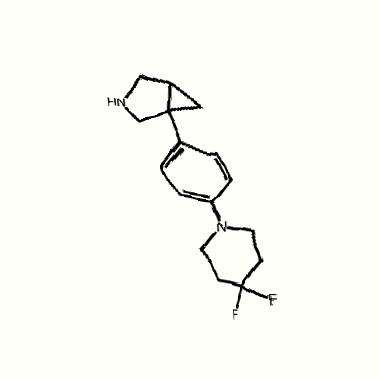 FC1(F)CCN(c2ccc(C34CNCC3C4)cc2)CC1